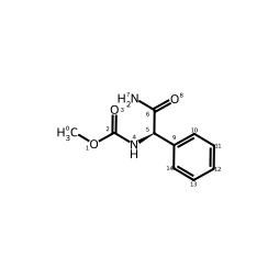 COC(=O)N[C@@H](C(N)=O)c1ccccc1